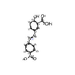 O=C(O)c1cc(/N=N/c2ccc([N+](=O)[O-])cc2)ccc1O